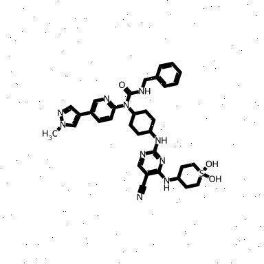 Cn1cc(-c2ccc(N(C(=O)NCc3ccccc3)C3CCC(Nc4ncc(C#N)c(NC5CCS(O)(O)CC5)n4)CC3)nc2)cn1